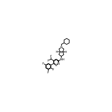 Fc1cc(F)c(F)c(-c2nnc(NC3C[C@@H]4CN(CC5CCCCC5)C[C@@H]4C3)cc2C(F)F)c1